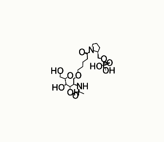 CC(=O)N[C@H]1C(O)[C@@H](O)C(CO)O[C@H]1OCCCCC(=O)N1CCC[C@H]1COP(=O)(O)O